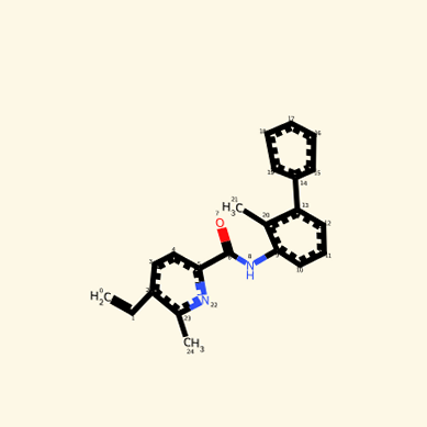 C=Cc1ccc(C(=O)Nc2cccc(-c3ccccc3)c2C)nc1C